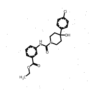 CCOC(=O)c1cccc(NC(=O)N2CCC(O)(c3ccc(Cl)cc3)CC2)c1